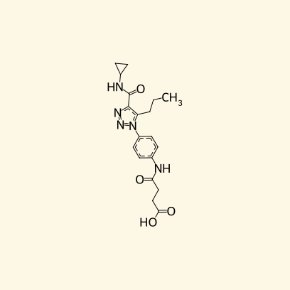 CCCc1c(C(=O)NC2CC2)nnn1-c1ccc(NC(=O)CCC(=O)O)cc1